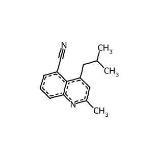 Cc1cc(CC(C)C)c2c(C#N)cccc2n1